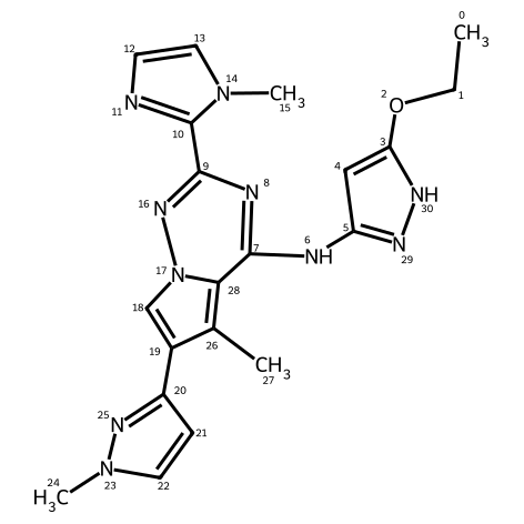 CCOc1cc(Nc2nc(-c3nccn3C)nn3cc(-c4ccn(C)n4)c(C)c23)n[nH]1